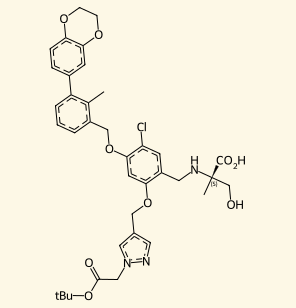 Cc1c(COc2cc(OCc3cnn(CC(=O)OC(C)(C)C)c3)c(CN[C@@](C)(CO)C(=O)O)cc2Cl)cccc1-c1ccc2c(c1)OCCO2